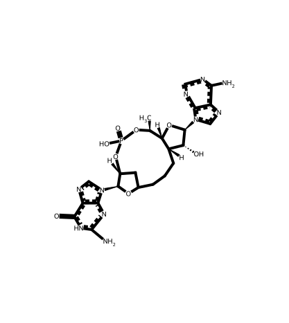 C[C@@H]1OP(=O)(O)O[C@@H]2CC(CCC[C@H]3[C@@H](O)[C@H](n4cnc5c(N)ncnc54)O[C@H]31)O[C@H]2n1cnc2c(=O)[nH]c(N)nc21